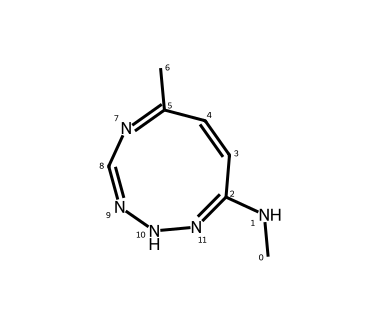 CNc1ccc(C)ncn[nH]n1